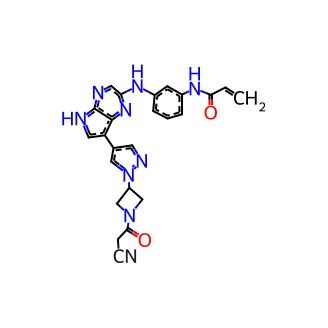 C=CC(=O)Nc1cccc(Nc2cnc3[nH]cc(-c4cnn(C5CN(C(=O)CC#N)C5)c4)c3n2)c1